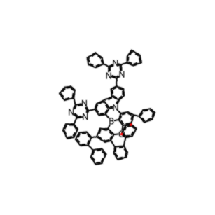 c1ccc(-c2cc3c4c(c2)-n2c5ccc(-c6nc(-c7ccccc7)nc(-c7ccccc7)n6)cc5c5cc(-c6nc(-c7ccccc7)nc(-c7ccccc7)n6)cc(c52)B4c2cc(-c4ccccc4-c4ccccc4)cc(-c4ccccc4-c4ccccc4)c2O3)cc1